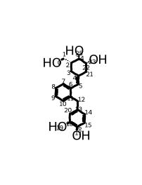 OC[C@H]1C/C(=C\c2ccccc2Cc2ccc(O)c(O)c2)C[C@@H](O)[C@@H]1O